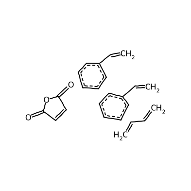 C=CC=C.C=Cc1ccccc1.C=Cc1ccccc1.O=C1C=CC(=O)O1